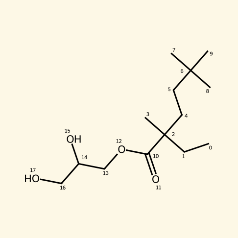 CCC(C)(CCC(C)(C)C)C(=O)OCC(O)CO